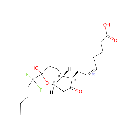 CCCCC(F)(F)C1(O)CC[C@H]2[C@@H](CC(=O)[C@@H]2C/C=C\CCCC(=O)O)O1